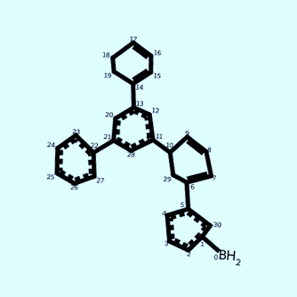 Bc1cccc(C2=CC=CC(c3cc(C4=CC=CCC4)cc(-c4ccccc4)c3)C2)c1